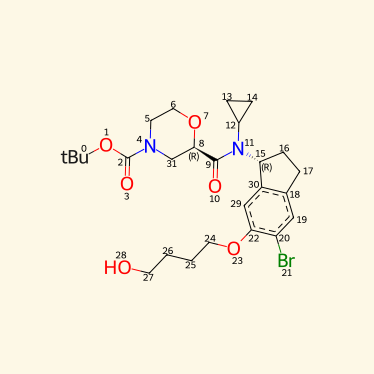 CC(C)(C)OC(=O)N1CCO[C@@H](C(=O)N(C2CC2)[C@@H]2CCc3cc(Br)c(OCCCCO)cc32)C1